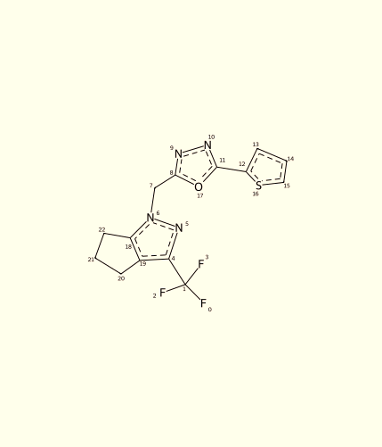 FC(F)(F)c1nn(Cc2nnc(-c3cccs3)o2)c2c1CCC2